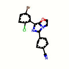 N#Cc1ccc(-c2nc(-c3cc(Br)ccc3Cl)c3occn23)cc1